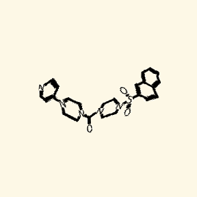 O=C(N1CCN(c2ccncc2)CC1)N1CCN(S(=O)(=O)c2ccc3ccccc3c2)CC1